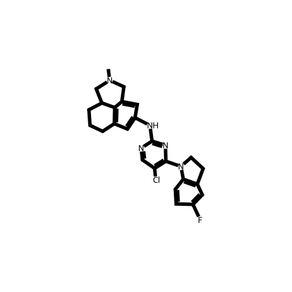 CN1Cc2cc(Nc3ncc(Cl)c(N4CCc5cc(F)ccc54)n3)cc3c2C(CCC3)C1